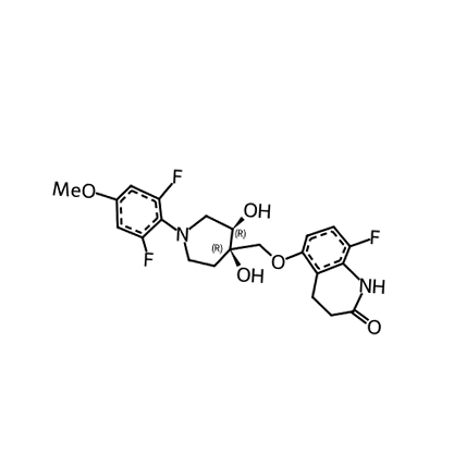 COc1cc(F)c(N2CC[C@@](O)(COc3ccc(F)c4c3CCC(=O)N4)[C@H](O)C2)c(F)c1